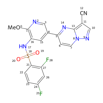 COc1ncc(-c2ccn3ncc(C#N)c3n2)cc1NS(=O)(=O)c1ccc(F)cc1F